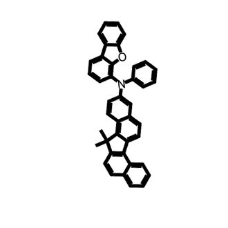 CC1(C)c2ccc3ccccc3c2-c2ccc3cc(N(c4ccccc4)c4cccc5c4oc4ccccc45)ccc3c21